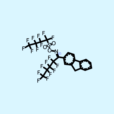 O=S(=O)(O/N=C(/c1ccc2c(c1)Cc1ccccc1-2)C(F)(F)C(F)(F)C(F)(F)C(F)(F)F)C(F)(F)C(F)(F)C(F)(F)C(F)(F)F